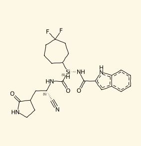 N#C[C@H](CC1CCNC1=O)NC(=O)[Si@@H](NC(=O)c1cc2ccccc2[nH]1)C1CCCC(F)(F)CC1